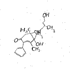 CC(C#CC1(O)C(C)=C(c2ccccc2)C(=O)CC1(C)C)=CCO